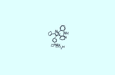 O=C(O)NC1(c2ccc(-c3c(C4=CCCC4)nc4n3-c3cccnc3Nc3ccccc3-4)cc2)CCC1